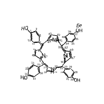 Oc1ccc(-c2c3nc(c(-c4ccc(O)cc4)c4ccc([nH]4)c(-c4ccc(O)cc4)c4nc(c(-c5ccc(O)cc5)c5ccc2[nH]5)C=C4)C=C3)cc1.[Fe]